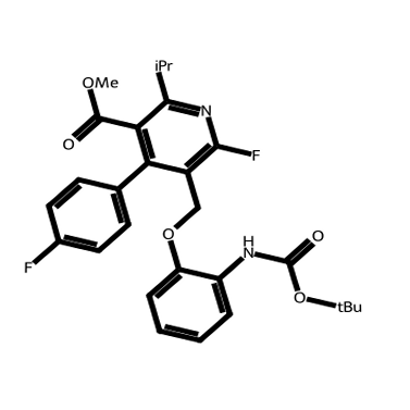 COC(=O)c1c(C(C)C)nc(F)c(COc2ccccc2NC(=O)OC(C)(C)C)c1-c1ccc(F)cc1